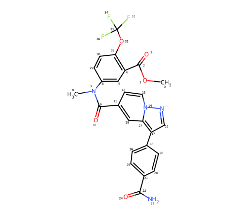 COC(=O)c1cc(N(C)C(=O)c2ccn3ncc(-c4ccc(C(N)=O)cc4)c3c2)ccc1OC(F)(F)F